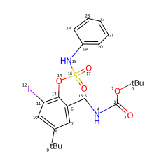 CC(C)(C)OC(=O)NCc1cc(C(C)(C)C)cc(I)c1OS(=O)(=O)Nc1ccccc1